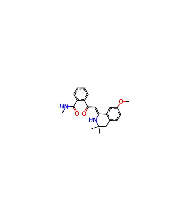 CNC(=O)c1ccccc1C(=O)C=C1NC(C)(C)Cc2ccc(OC)cc21